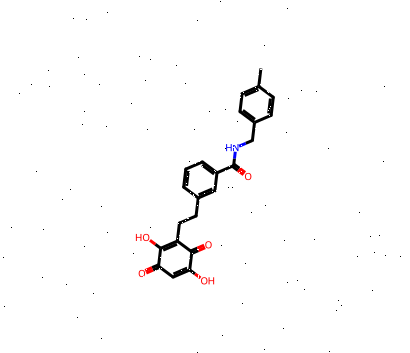 Cc1ccc(CNC(=O)c2cccc(CCC3=C(O)C(=O)C=C(O)C3=O)c2)cc1